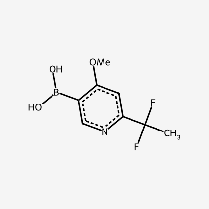 COc1cc(C(C)(F)F)ncc1B(O)O